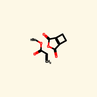 C=CC(=O)OCCCC.O=C1OC(=O)C2=C1CC2